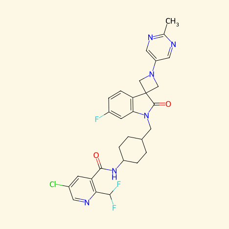 Cc1ncc(N2CC3(C2)C(=O)N(CC2CCC(NC(=O)c4cc(Cl)cnc4C(F)F)CC2)c2cc(F)ccc23)cn1